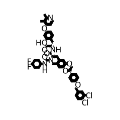 Cc1nccc(Oc2ccc(C[C@H](NC(=O)[C@@H]3Cc4cc5c(cc4CN3C(=O)NC3CCC(F)(F)CC3)O[C@@H](c3ccc(OCc4ccc(Cl)c(Cl)c4)cc3)CO5)C(=O)O)cc2)c1C